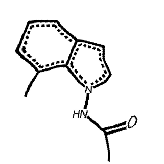 CC(=O)Nn1ccc2cccc(C)c21